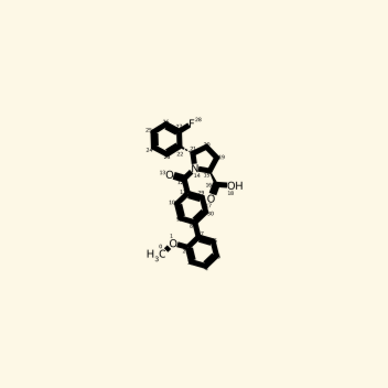 COc1ccccc1-c1ccc(C(=O)N2[C@H](C(=O)O)CC[C@H]2c2ccccc2F)cc1